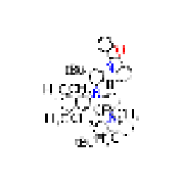 Cc1cc2c(cc1N1c3cc(N4c5ccc(C(C)(C)C)cc5C5(C)CCCCC45C)ccc3B3c4c1cc(C(C)(C)C)cc4-n1c4c3cccc4c3oc4ccccc4c31)C(C)(C)CCC2(C)C